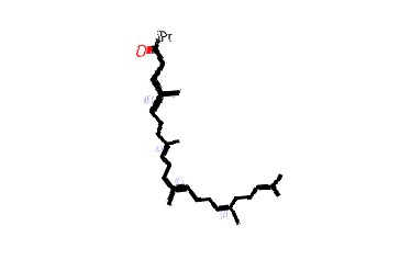 CC(C)=CCC/C(C)=C\CC/C=C(\C)CC/C=C(\C)CC/C=C(\C)CCC(=O)C(C)C